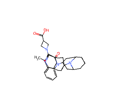 CC1CC2CC(C1)CC(N1C3CCCC1CC(n1c(=O)c(N4CC(C(=O)O)C4)nc4ccccc41)C3)C2